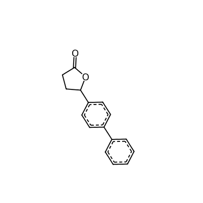 O=C1CCC(c2ccc(-c3ccccc3)cc2)O1